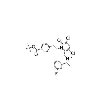 CC(c1cccc(F)c1)N(C)Cc1c(Cl)cc(Cl)c(=O)n1CCc1ccc(C(=O)OC(C)(C)C)cc1